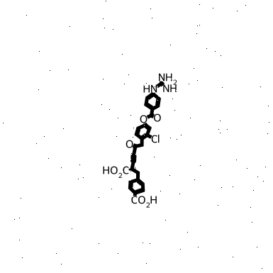 N=C(N)Nc1ccc(C(=O)Oc2ccc(CC(=O)C#C[C@@H](Cc3ccc(C(=O)O)cc3)C(=O)O)c(Cl)c2)cc1